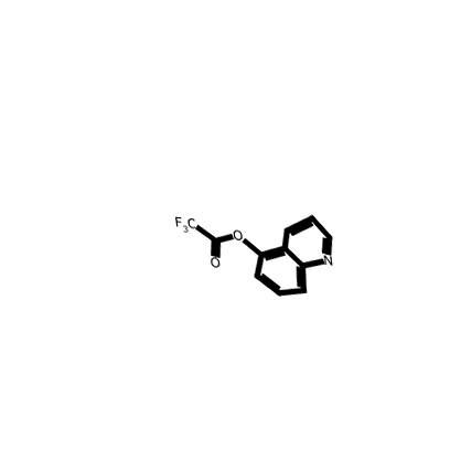 O=C(Oc1cccc2ncccc12)C(F)(F)F